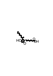 CCCCCCC(C)[C@@H]1[C@H](O)CC(=O)[C@@H]1CCCCCCC(=O)O